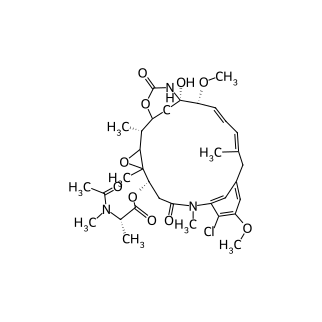 COc1cc2cc(c1Cl)N(C)C(=O)C[C@H](OC(=O)[C@H](C)N(C)C(C)=O)C1(C)OC1[C@H](C)C1C[C@@](O)(NC(=O)O1)[C@H](OC)/C=C/C=C(\C)C2